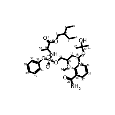 CCC(CC)COC(=O)C(C)NP(=O)(OCC(C[C@@H](OC(C)(C)O)N1C=CCC(C(N)=O)=C1)OC)Oc1ccccc1